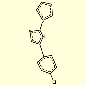 Clc1ccc(-c2csc(-n3cccc3)n2)cc1